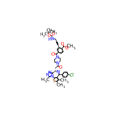 COC(=O)c1ccc(C(=O)N2CCN(C(=O)C[C@@H]3N=C(c4ccc(Cl)cc4)c4c(sc(C)c4C)-n4c(C)nnc43)CC2)cc1C#CCNC(=O)OC(C)(C)C